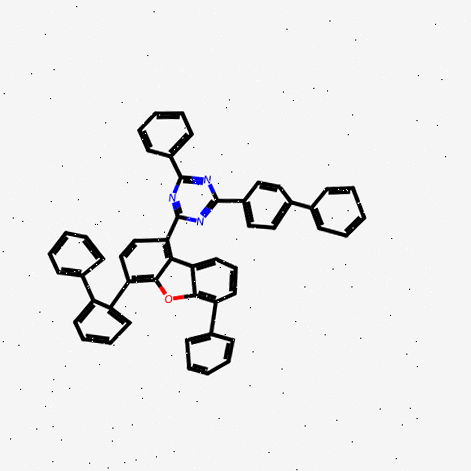 c1ccc(-c2ccc(-c3nc(-c4ccccc4)nc(-c4ccc(-c5ccccc5-c5ccccc5)c5oc6c(-c7ccccc7)cccc6c45)n3)cc2)cc1